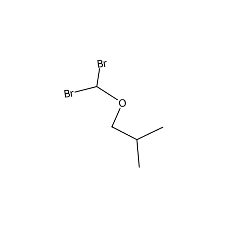 CC(C)COC(Br)Br